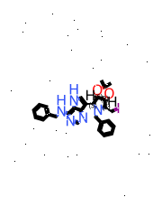 CC1(C)O[C@@H]2[C@H](O1)[C@@H](CI)N(Cc1ccccc1)[C@H]2c1c[nH]c2c(NCc3ccccc3)ncnc12